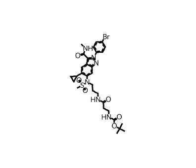 CNC(=O)c1c2cc(C3CC3)c(N(CCCNC(=O)CCNC(=O)OC(C)(C)C)S(C)(=O)=O)cc2nn1-c1ccc(Br)cc1